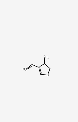 C=C[N+]1=COCC1C